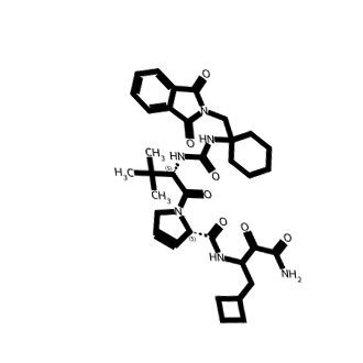 CC(C)(C)[C@H](NC(=O)NC1(CN2C(=O)c3ccccc3C2=O)CCCCC1)C(=O)N1CC#C[C@H]1C(=O)NC(CC1CCC1)C(=O)C(N)=O